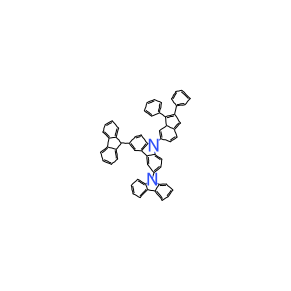 C1=CC(n2c3ccc(C4c5ccccc5-c5ccccc54)cc3c3cc(-n4c5ccccc5c5ccccc54)ccc32)=CC2C1=CC(c1ccccc1)=C2c1ccccc1